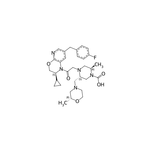 C[C@@H]1CN(C[C@H]2CN(C(=O)O)[C@H](C)CN2CC(=O)N2c3cc(Cc4ccc(F)cc4)cnc3OC[C@@H]2C2CC2)CCO1